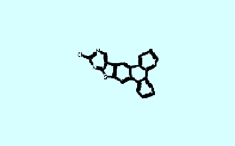 Clc1ncc2c(n1)sc1cc3c4ccccc4c4ccccc4c3cc12